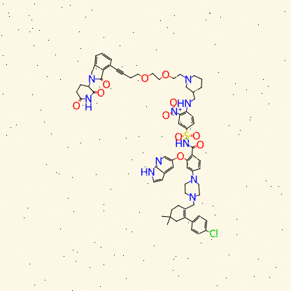 CC1(C)CCC(CN2CCN(c3ccc(C(=O)NS(=O)(=O)c4ccc(NCC5CCCN(CCOCCOCCC#Cc6cccc7c6C(=O)N(C6CCC(=O)NC6=O)C7)C5)c([N+](=O)[O-])c4)c(Oc4cnc5[nH]ccc5c4)c3)CC2)=C(c2ccc(Cl)cc2)C1